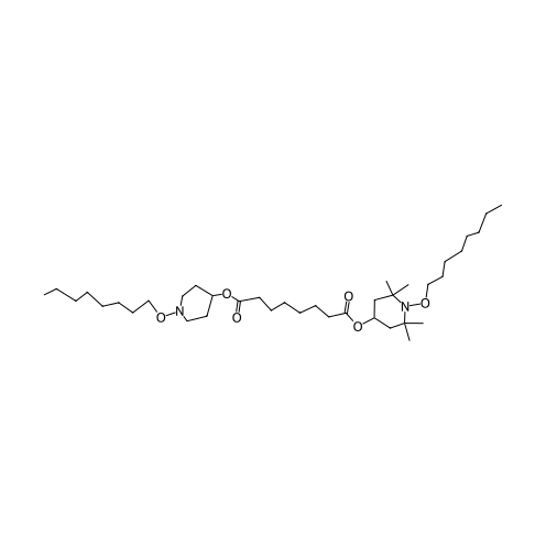 CCCCCCCCON1CCC(OC(=O)CCCCCCC(=O)OC2CC(C)(C)N(OCCCCCCCC)C(C)(C)C2)CC1